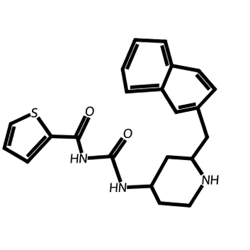 O=C(NC(=O)c1cccs1)NC1CCNC(Cc2ccc3ccccc3c2)C1